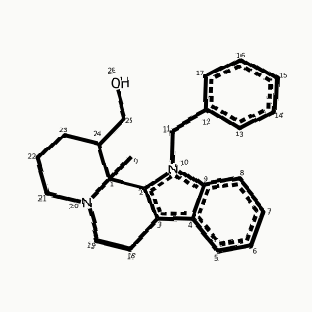 CC12c3c(c4ccccc4n3Cc3ccccc3)CCN1CCCC2CO